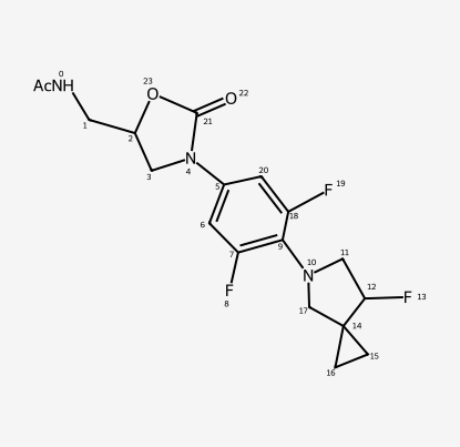 CC(=O)NCC1CN(c2cc(F)c(N3CC(F)C4(CC4)C3)c(F)c2)C(=O)O1